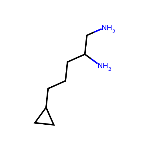 NCC(N)CCCC1CC1